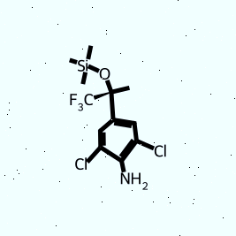 C[C@@](O[Si](C)(C)C)(c1cc(Cl)c(N)c(Cl)c1)C(F)(F)F